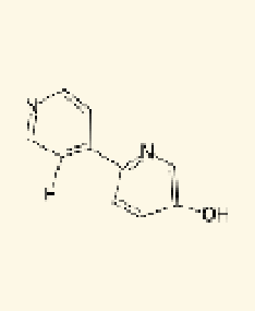 Oc1ccc(-c2ccncc2F)nc1